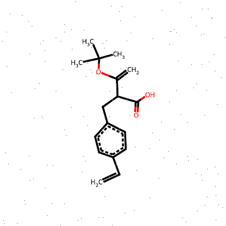 C=Cc1ccc(CC(C(=C)OC(C)(C)C)C(=O)O)cc1